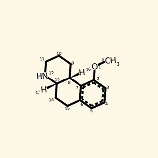 COc1cccc2c1[C@H]1CCCN[C@H]1CC2